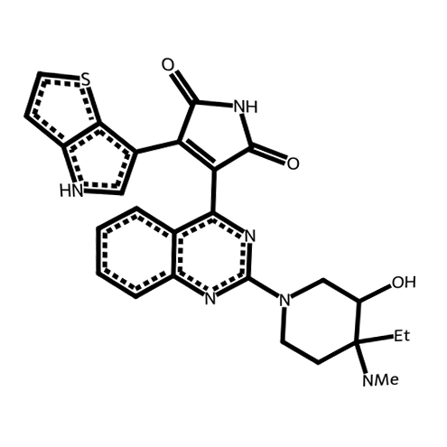 CCC1(NC)CCN(c2nc(C3=C(c4c[nH]c5ccsc45)C(=O)NC3=O)c3ccccc3n2)CC1O